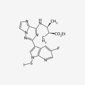 CCOC(=O)[C@@H](C)[C@H](C)Nc1nc(-c2cn(SI)c3ncc(F)cc23)nn2ccnc12